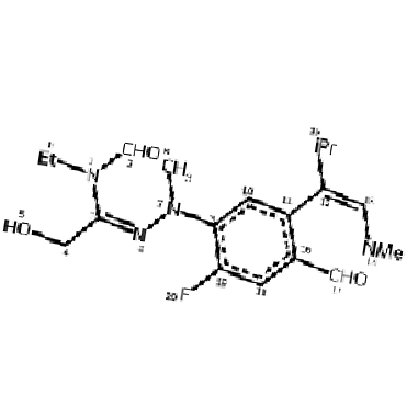 CCN(C=O)/C(CO)=N\N(C)c1cc(/C(=C\NC)C(C)C)c(C=O)cc1F